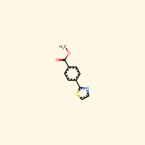 COC(=O)c1ccc(-c2nccs2)cc1